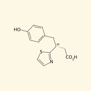 O=C(O)C[C@@H](Cc1ccc(O)cc1)c1nccs1